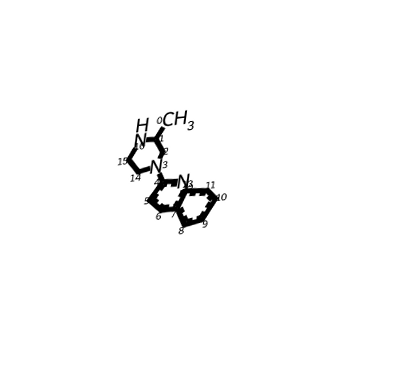 CC1CN(c2ccc3ccccc3n2)CCN1